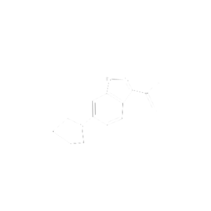 O=C(O)c1n[nH]c2cc(N3CCCC3)ccc12